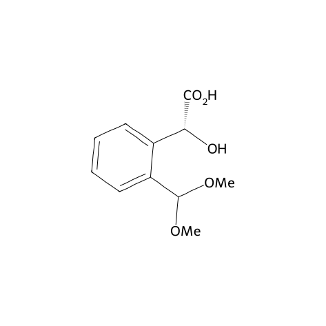 COC(OC)c1ccccc1[C@@H](O)C(=O)O